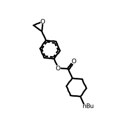 CCCCC1CCC(C(=O)Oc2ccc(C3CO3)cc2)CC1